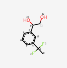 CC(F)(F)c1cccc(C(O)CO)c1